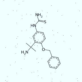 CC(C)(N)c1cc(NC(N)=S)ccc1OCc1ccccc1